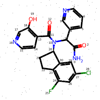 NC(=O)C(c1cccnc1)N(C(=O)c1ccncc1O)[C@@H]1CCc2c(F)cc(Cl)cc21